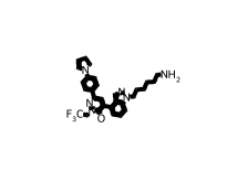 NCCCCCCn1ncc2c(-c3cc(-c4ccc(N5C=CCC5)cc4)nn(CC(F)(F)F)c3=O)cccc21